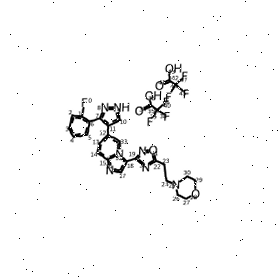 Fc1ccccc1-c1n[nH]cc1-c1ccc2ncc(-c3noc(CCN4CCOCC4)n3)n2c1.O=C(O)C(F)(F)F.O=C(O)C(F)(F)F